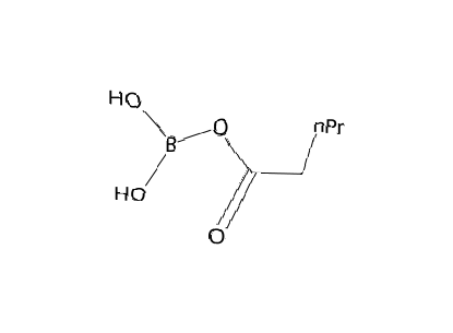 CCCCC(=O)OB(O)O